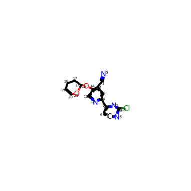 N#Cc1cc(-c2ccnc(Cl)n2)ncc1OC1CCC=CO1